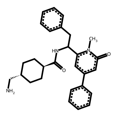 Cn1c(C(Cc2ccccc2)NC(=O)[C@H]2CC[C@H](CN)CC2)cc(-c2ccccc2)cc1=O